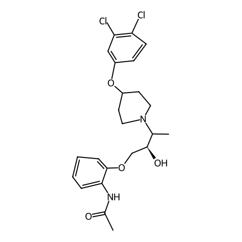 CC(=O)Nc1ccccc1OC[C@H](O)C(C)N1CCC(Oc2ccc(Cl)c(Cl)c2)CC1